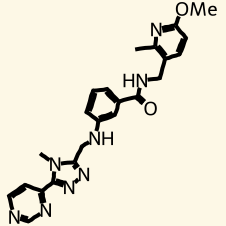 COc1ccc(CNC(=O)c2cccc(NCc3nnc(-c4ccncn4)n3C)c2)c(C)n1